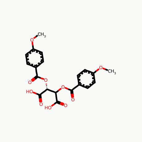 COc1ccc(C(=O)OC(C(=O)O)[C@@H](OC(=O)c2ccc(OC)cc2)C(=O)O)cc1